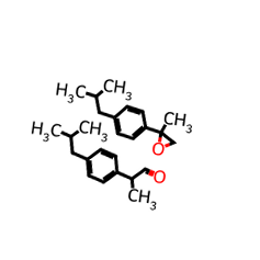 CC(C)Cc1ccc(C(C)C=O)cc1.CC(C)Cc1ccc(C2(C)CO2)cc1